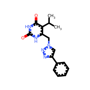 CC(C)c1c(Cn2cc(-c3ccccc3)nn2)[nH]c(=O)[nH]c1=O